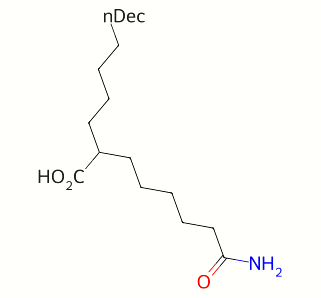 CCCCCCCCCCCCCCC(CCCCCC(N)=O)C(=O)O